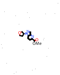 COC(=O)c1ccc2c(cnn2C2CCOC2)n1